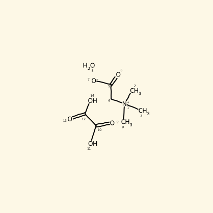 C[N+](C)(C)CC(=O)[O-].O.O=C(O)C(=O)O